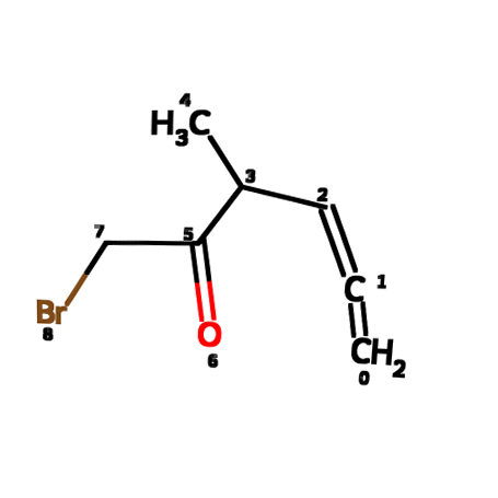 C=C=CC(C)C(=O)CBr